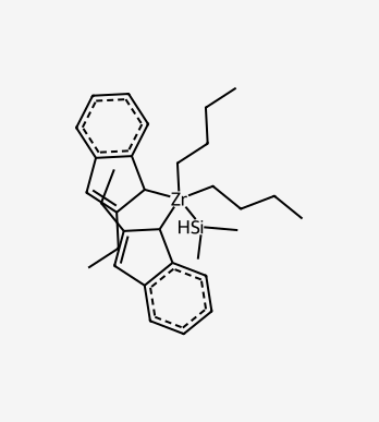 CCC[CH2][Zr]([CH2]CCC)([CH]1C(CC)=Cc2ccccc21)([CH]1C(CC)=Cc2ccccc21)[SiH](C)C